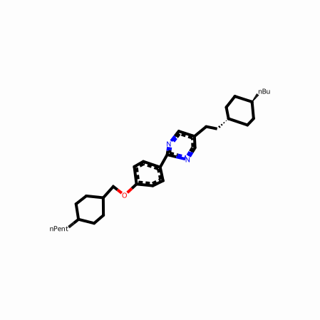 CCCCCC1CCC(COc2ccc(-c3ncc(CC[C@H]4CC[C@H](CCCC)CC4)cn3)cc2)CC1